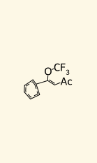 CC(=O)C=C(OC(F)(F)F)c1ccccc1